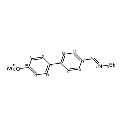 [CH2]CN=Cc1ccc(-c2ccc(OC)cc2)cc1